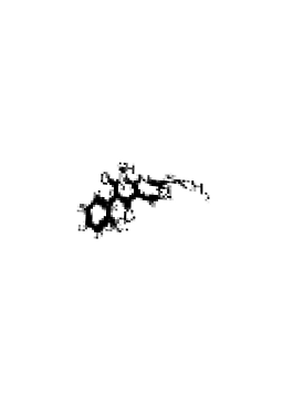 CSc1ncc2c(n1)N(C)C(=O)C(c1ccccc1Cl)C2=O